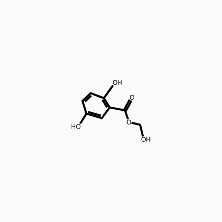 O=C(OCO)c1cc(O)ccc1O